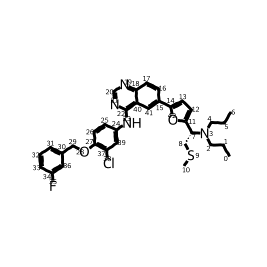 CCCN(CCC)[C@H](CSC)c1ccc(-c2ccc3ncnc(Nc4ccc(OCc5cccc(F)c5)c(Cl)c4)c3c2)o1